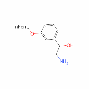 CCCCCOc1cccc(C(O)CN)c1